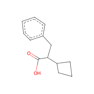 O=C(O)C(Cc1ccccc1)C1CCC1